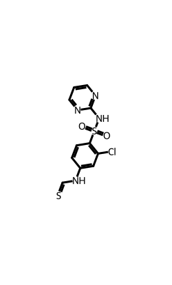 O=S(=O)(Nc1ncccn1)c1ccc(NC=S)cc1Cl